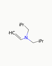 [CH]=CN(CC(C)C)CC(C)C